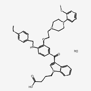 CCc1ccc(CNc2ccc(C(=O)c3cn(CCCC(=O)O)c4ccccc34)cc2OCCN2CCN(c3ccccc3OC)CC2)cc1.Cl